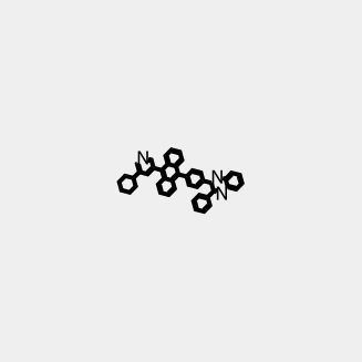 c1ccc(-c2nc3ccccc3nc2-c2ccc(-c3c4ccccc4c(-c4cncc(C5CCCCC5)c4)c4ccccc34)cc2)cc1